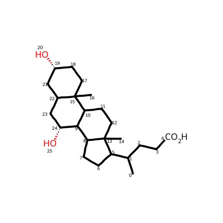 CC(CCC(=O)O)C1CCC2C3C(CCC12C)C1(C)CC[C@@H](O)CC1C[C@H]3O